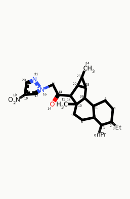 CCCC1C(CC)CCC2C1CCC1(C)C(C(=O)Cn3cc([N+](=O)[O-])cn3)C3C(C)C3C21